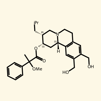 COC(C)(C(=O)O[C@H]1C[C@H]2c3cc(CO)c(CO)cc3CCN2C[C@H]1CC(C)C)c1ccccc1